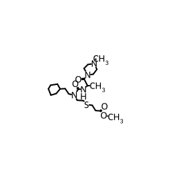 COC(=O)CCSCCN(CCC1CCCCC1)C(=O)NC(C)C(=O)N1CCN(C)CC1